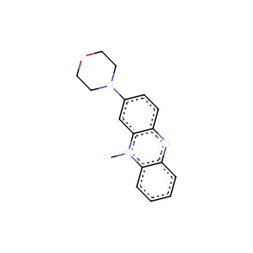 CC[n+]1c2ccccc2nc2ccc(N3CCOCC3)cc21.[I-]